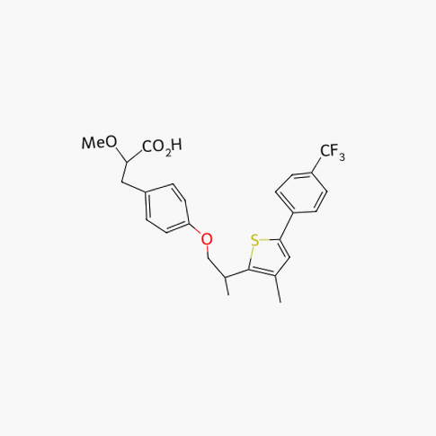 COC(Cc1ccc(OCC(C)c2sc(-c3ccc(C(F)(F)F)cc3)cc2C)cc1)C(=O)O